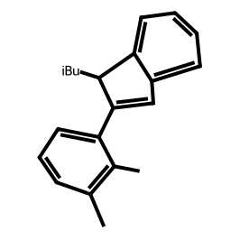 CCC(C)[C]1C(c2cccc(C)c2C)=Cc2ccccc21